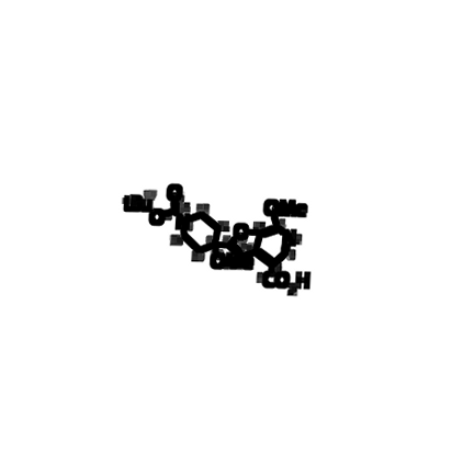 COc1ncc(C(=O)O)c2cc(C3(OC)CCN(C(=O)OC(C)(C)C)CC3)oc12